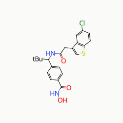 CC(C)(C)C(NC(=O)Cc1csc2ccc(Cl)cc12)c1ccc(C(=O)NO)cc1